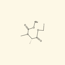 C[C@@H](C(=O)OCI)N(C)C(=O)OC(C)(C)C